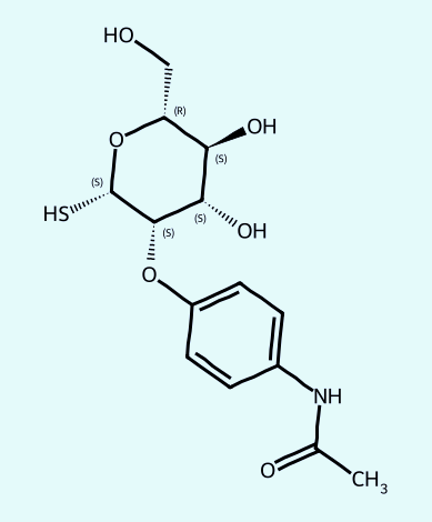 CC(=O)Nc1ccc(O[C@H]2[C@@H](O)[C@H](O)[C@@H](CO)O[C@H]2S)cc1